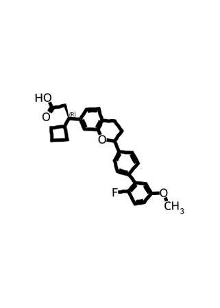 COc1ccc(F)c(-c2ccc(C3CCc4ccc([C@H](CC(=O)O)C5CCC5)cc4O3)cc2)c1